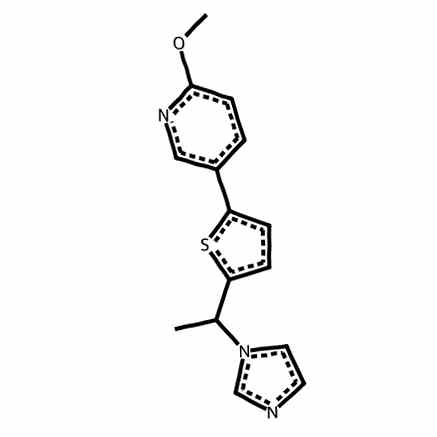 COc1ccc(-c2ccc(C(C)n3ccnc3)s2)cn1